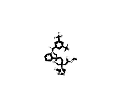 CCOC(=O)C[C@]1(n2cn[nH]c2=O)CC[C@@](CO[C@H](C)c2cc(C(F)(F)F)cc(C(F)(F)F)c2)(c2ccccc2)NC1